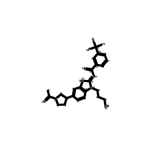 CC(=O)N1CCC(c2ccc3c(c2)[nH]/c(=N\C(=O)c2cccc(C(F)(F)F)c2)n3CCCO)C1